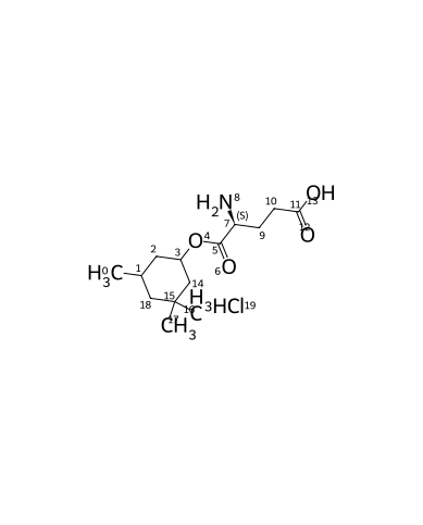 CC1CC(OC(=O)[C@@H](N)CCC(=O)O)CC(C)(C)C1.Cl